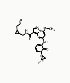 CNc1cc(Nc2cccn([C@H]3C[C@@H]3F)c2=O)nc2c(C(=O)NCC3CC3CCO)cnn12